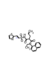 C=CCC(C(=O)NS(=O)(=O)/C=C/c1nccs1)C(=O)N(CC)c1cccc2ccccc12